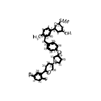 CSC1CC(O)CC(c2ccc(C)c(Cc3ccc(OC4CCN([C@@H]5CCC(c6cc(F)ccc6F)OC5)C4)cc3)c2)O1